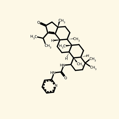 CC(C)C1=C2[C@H]3CC[C@@H]4[C@@]5(C)C(NC(=O)Nc6ccccn6)CCC(C)(C)[C@@H]5CC[C@@]4(C)[C@]3(C)CC[C@@]2(C)CC1=O